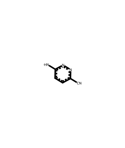 N#Cc1ccc([NH])nn1